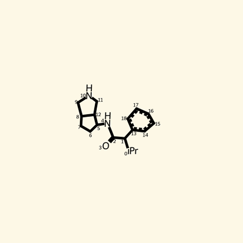 CC(C)C(C(=O)NC1CCC2CNCC21)c1ccccc1